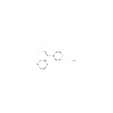 CCN(CC)Cc1ccc(C2=CC3(CCNCC3)Cc3ccccc32)c(O)c1